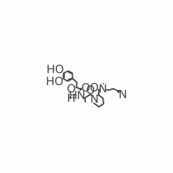 CC(NC(=O)C(O)Cc1ccc(O)c(O)c1)C(=O)N1CCCCC1C(=O)N(C)CCC#N